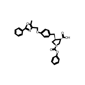 Cc1oc(-c2ccccc2)nc1COc1ccc(C[C@@H]2CN(C(=O)Oc3ccccc3)C[C@H]2C(=O)O)cc1